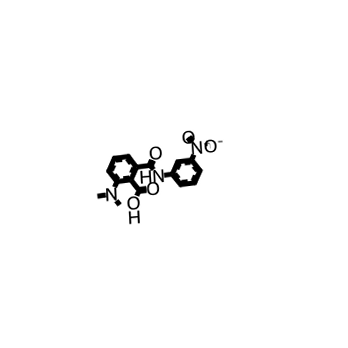 CN(C)c1cccc(C(=O)Nc2cccc([N+](=O)[O-])c2)c1C(=O)O